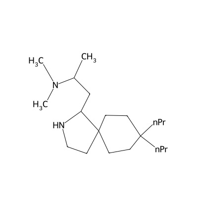 CCCC1(CCC)CCC2(CCNC2CC(C)N(C)C)CC1